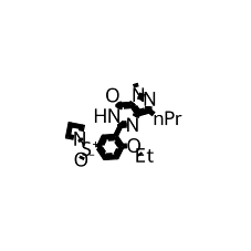 CCCc1nn(C)c2c(=O)[nH]c(-c3cc([S+]([O-])N4CCC4)ccc3OCC)nc12